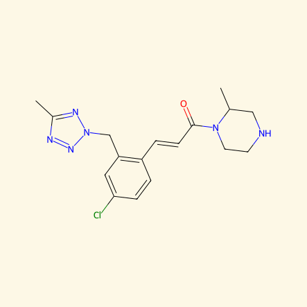 Cc1nnn(Cc2cc(Cl)ccc2C=CC(=O)N2CCNCC2C)n1